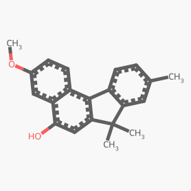 COc1ccc2c3c(cc(O)c2c1)C(C)(C)c1cc(C)ccc1-3